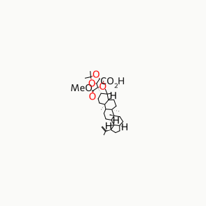 C=C(C)[C@@H]1CC[C@@H]2CC[C@]3(C)[C@H](CCC4[C@@]5(C)CC[C@H](C(OC(=O)O)(C(=O)OC)C6COC(C)(C)O6)C(C)(C)[C@@H]5CC[C@]43C)[C@H]21